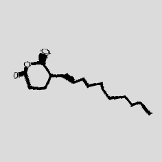 CCCCCCCCC=CC1CCC(=O)OC1=O